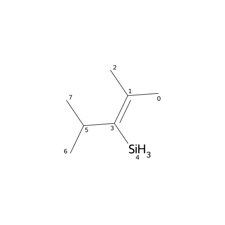 CC(C)=C([SiH3])C(C)C